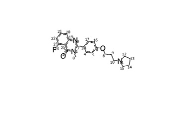 Cn1c(-c2ccc(OCCCN3CCCC3)cc2)nc2cccc(F)c2c1=O